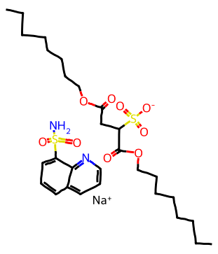 CCCCCCCCOC(=O)CC(C(=O)OCCCCCCCC)S(=O)(=O)[O-].NS(=O)(=O)c1cccc2cccnc12.[Na+]